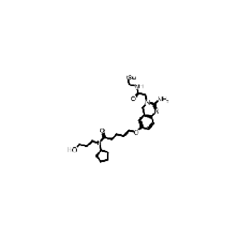 CC(C)(C)CNC(=O)CN1Cc2cc(OCCCCC(=O)N(CCCO)C3CCCC3)ccc2N=C1N